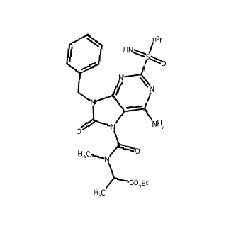 CCCS(=N)(=O)c1nc(N)c2c(n1)n(Cc1ccccc1)c(=O)n2C(=O)N(C)C(C)C(=O)OCC